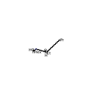 CCCCCC[C@@H](O)C/C=C\CCCCCCCC(=O)N[C](CC)CCCCCCCCCCCCCCCC(C)C